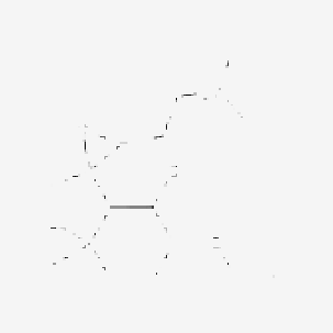 COC1C(O[C]=O)CCC2(CO2)C1C1(C)OC1CC=C(C)C